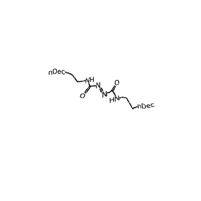 CCCCCCCCCCCCNC(=O)N=NC(=O)NCCCCCCCCCCCC